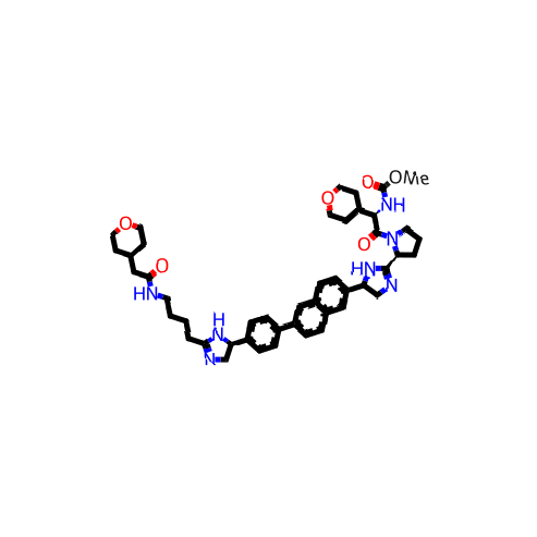 COC(=O)N[C@H](C(=O)N1CCC[C@H]1C1=NCC(c2ccc3cc(-c4ccc(C5CN=C(CCCCNC(=O)CC6CCOCC6)N5)cc4)ccc3c2)N1)C1CCOCC1